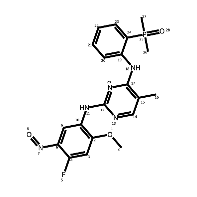 COc1cc(F)c(N=O)cc1Nc1ncc(C)c(Nc2ccccc2P(C)(C)=O)n1